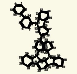 c1ccc(-c2cccc(-n3c4ccccc4c4ccc(-c5ccc(-n6c7ccccc7c7ccc8c9ccccc9n(-c9ccccc9)c8c76)cc5)cc43)c2)cc1